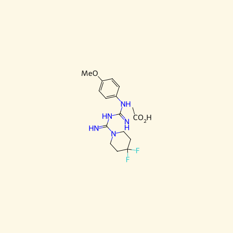 CC(=O)O.COc1ccc(NC(=N)NC(=N)N2CCC(F)(F)CC2)cc1